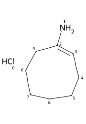 Cl.NC1=CCCCCCC1